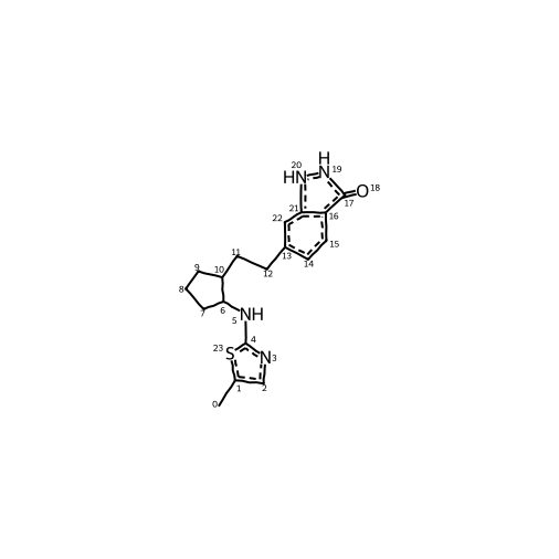 Cc1cnc(NC2CCCC2CCc2ccc3c(=O)[nH][nH]c3c2)s1